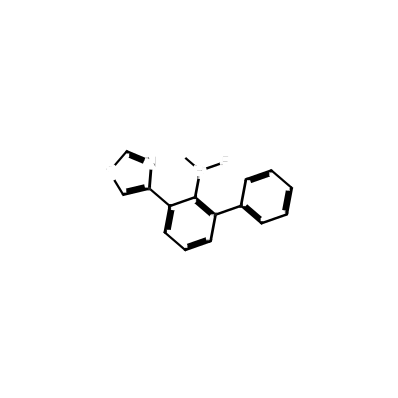 FB(F)c1c(-c2ccccc2)cccc1-c1cscn1